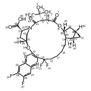 CC(C)(C)[C@@H]1NC(=O)O[C@@H]2C[C@@H]3C[C@@H]3[C@H]2CCCCC(F)(F)c2nc3cc(F)c(F)cc3nc2O[C@@H]2C[C@@H](C(=O)O)N(C2)C1=O